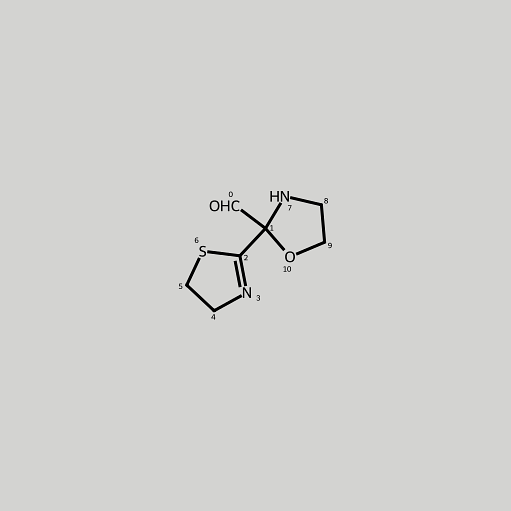 O=CC1(C2=NCCS2)NCCO1